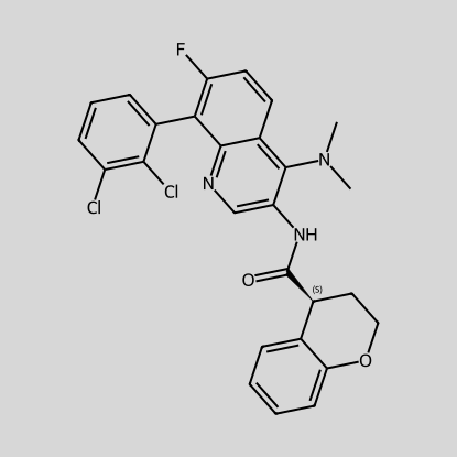 CN(C)c1c(NC(=O)[C@H]2CCOc3ccccc32)cnc2c(-c3cccc(Cl)c3Cl)c(F)ccc12